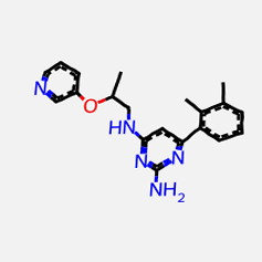 Cc1cccc(-c2cc(NCC(C)Oc3cccnc3)nc(N)n2)c1C